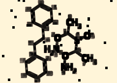 CC(ON)[S+]([O-])C(C)ON.c1ccc(CCc2ccccc2)cc1